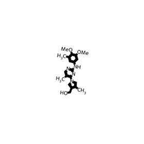 COc1cc(Nc2ncc(C)c(-n3cc(C)c(CO)c3)n2)cc(C)c1OC